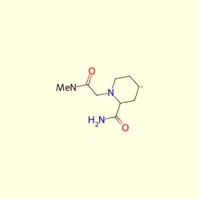 CNC(=O)CN1CC[CH]CC1C(N)=O